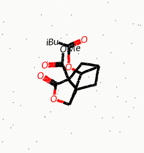 CCC(C)C(=O)OC1C2CC3C1OC(=O)C3(C(=O)OC)C2